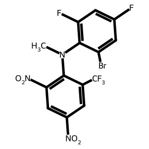 CN(c1c(F)cc(F)cc1Br)c1c([N+](=O)[O-])cc([N+](=O)[O-])cc1C(F)(F)F